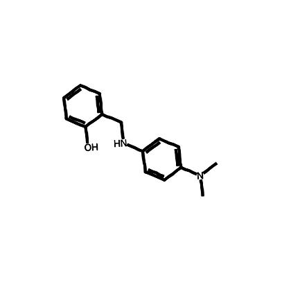 CN(C)c1ccc(NCc2ccccc2O)cc1